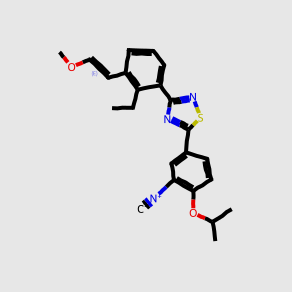 [C-]#[N+]c1cc(-c2nc(-c3cccc(/C=C/OC)c3CC)ns2)ccc1OC(C)C